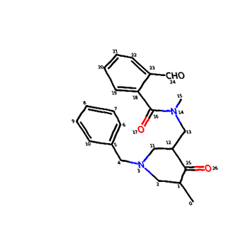 CC1CN(Cc2ccccc2)CC(CN(C)C(=O)c2ccccc2C=O)C1=O